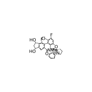 CNC(=O)c1cc2c(c(F)c1-c1c(Cl)c(F)cc3c1C[C@](c1ccccc1)([C@@H]1CCCN1)O3)C(O)CC2O